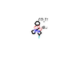 CCOC(=O)[C@H]1CC[C@H](OC(C(=O)OC(C)(C)C)(N2CCCC2)N2CC[C@H](F)C2)CC1